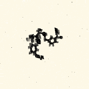 CC(C)C(OCc1cccc(C(F)F)c1)C(=O)N[C@@H](C)c1ccc(C(=O)O)cc1